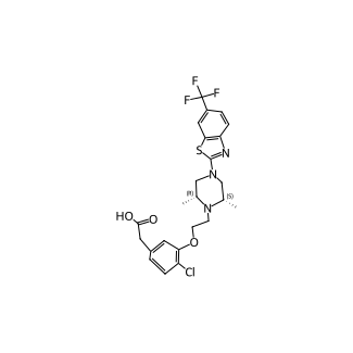 C[C@@H]1CN(c2nc3ccc(C(F)(F)F)cc3s2)C[C@H](C)N1CCOc1cc(CC(=O)O)ccc1Cl